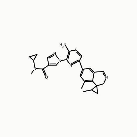 Cc1cc(-c2cnc(N)c(-n3cc(C(=O)N(C)C4CC4)cn3)n2)cc2c1C1(CN=C2)CC1C